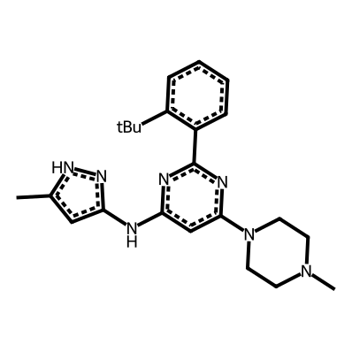 Cc1cc(Nc2cc(N3CCN(C)CC3)nc(-c3ccccc3C(C)(C)C)n2)n[nH]1